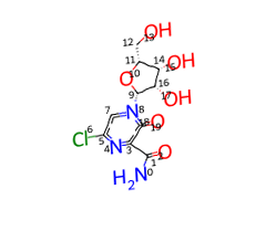 NC(=O)c1nc(Cl)cn([C@@H]2O[C@H](CO)[C@H](O)[C@@H]2O)c1=O